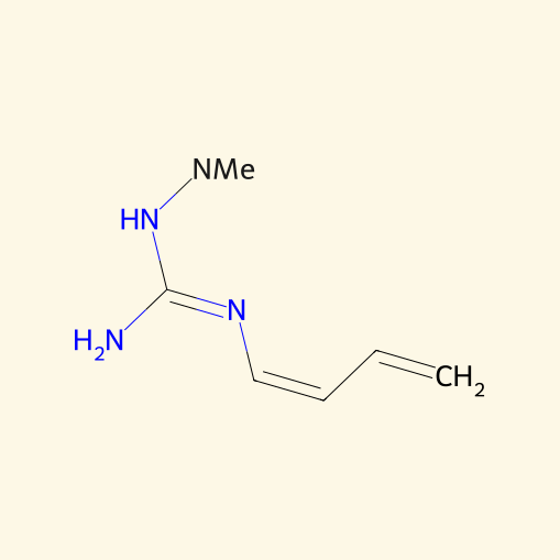 C=C/C=C\N=C(/N)NNC